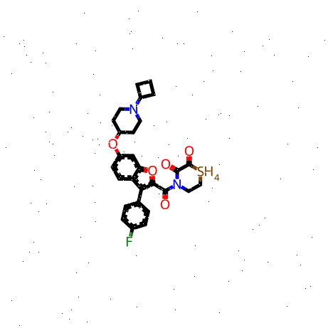 O=C1[SH4]CCN(C(=O)c2oc3cc(OC4CCN(C5CCC5)CC4)ccc3c2-c2ccc(F)cc2)C1=O